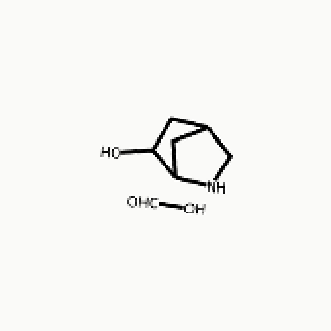 O=CO.OC1CC2CNC1C2